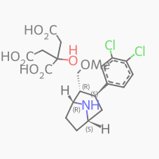 COC[C@@H]1[C@@H](c2ccc(Cl)c(Cl)c2)C[C@@H]2CC[C@H]1N2.O=C(O)CC(O)(CC(=O)O)C(=O)O